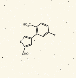 O=Cc1cc(-c2cc(F)ccc2C(=O)O)cs1